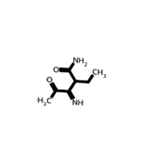 [CH2]C(=O)C(=N)C(CC)C(N)=O